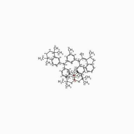 CC/C(=C1/c2ccccc2SC1C)N(c1cc(C)cc(N(c2ccc3c(c2)C(C)(C)CCC3(C)C)c2ccc3c(c2)C(C)(C)CCC3(C)C)c1)c1ccc2c(c1)C(C)(C)CCC2(C)C